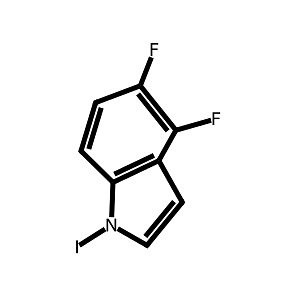 Fc1ccc2c(ccn2I)c1F